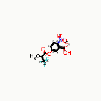 CC(C(=O)Oc1ccc([N+](=O)[O-])c(C(=O)O)c1)C(F)(F)F